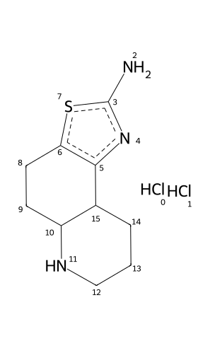 Cl.Cl.Nc1nc2c(s1)CCC1NCCCC21